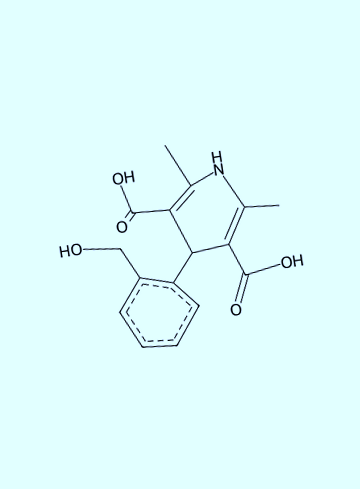 CC1=C(C(=O)O)C(c2ccccc2CO)C(C(=O)O)=C(C)N1